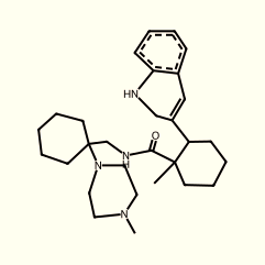 CN1CCN(C2(CNC(=O)C3(C)CCCCC3C3=Cc4ccccc4NC3)CCCCC2)CC1